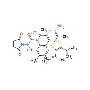 C=C(C)C1=C(C(=C)C)SC2(S1)C(C)=C(N)SC1=C2c2cc(C)c(C)c3c2N(C(=O)N(N2C(=O)CCC2=O)N3)C1(C)O